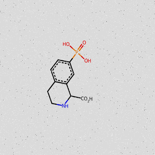 O=C(O)C1NCCc2ccc(P(=O)(O)O)cc21